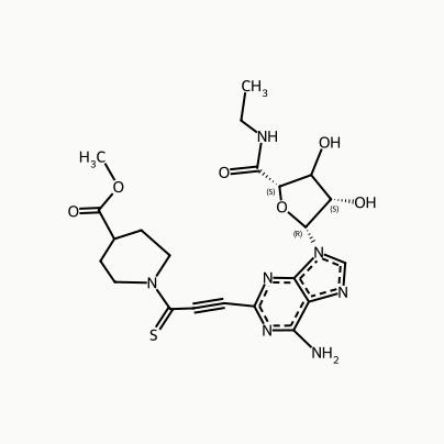 CCNC(=O)[C@H]1O[C@@H](n2cnc3c(N)nc(C#CC(=S)N4CCC(C(=O)OC)CC4)nc32)[C@@H](O)C1O